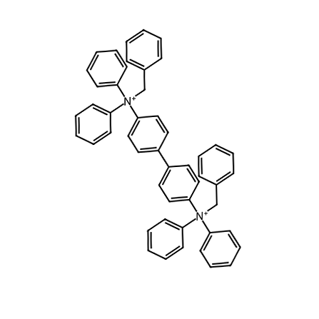 c1ccc(C[N+](c2ccccc2)(c2ccccc2)c2ccc(-c3ccc([N+](Cc4ccccc4)(c4ccccc4)c4ccccc4)cc3)cc2)cc1